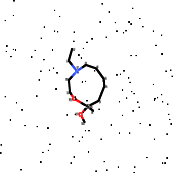 CCN1CCCCC[Si](C)(OC)OCC1